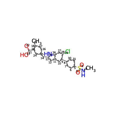 CNS(=O)(=O)c1ccc(-c2cc3cc(Cc4ccc(C)c(C(=O)O)c4)[nH]c3cc2Cl)cc1